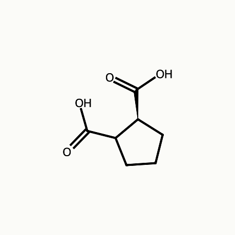 O=C(O)C1CCC[C@@H]1C(=O)O